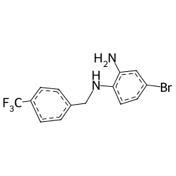 Nc1cc(Br)ccc1NCc1ccc(C(F)(F)F)cc1